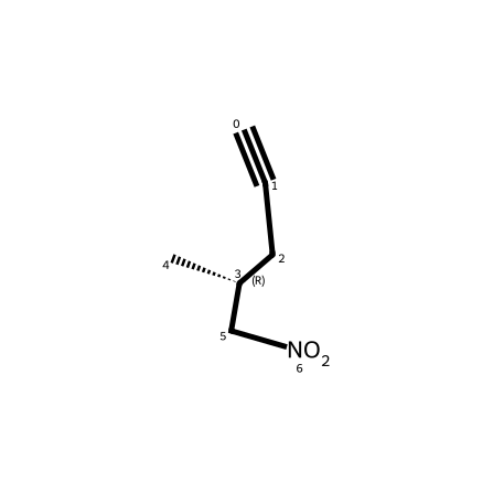 C#CC[C@@H](C)C[N+](=O)[O-]